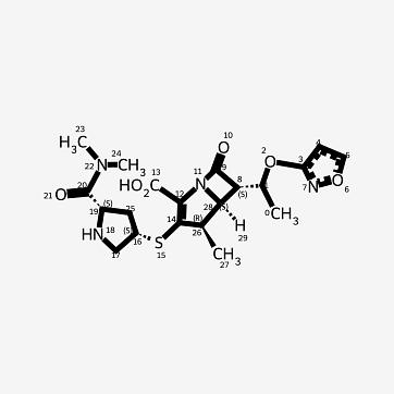 CC(Oc1ccon1)[C@H]1C(=O)N2C(C(=O)O)=C(S[C@@H]3CN[C@H](C(=O)N(C)C)C3)[C@H](C)[C@H]12